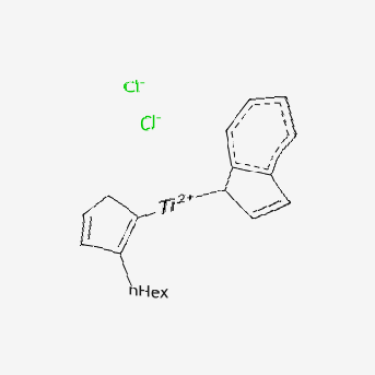 CCCCCCC1=[C]([Ti+2][CH]2C=Cc3ccccc32)CC=C1.[Cl-].[Cl-]